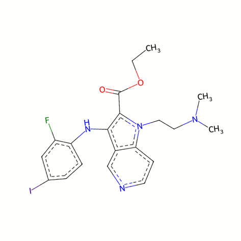 CCOC(=O)c1c(Nc2ccc(I)cc2F)c2cnccc2n1CCN(C)C